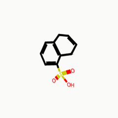 O=S(=O)(O)c1cccc2c1[CH]C=CC2